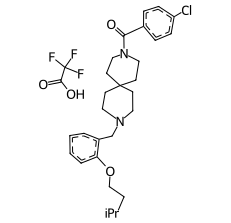 CC(C)CCOc1ccccc1CN1CCC2(CC1)CCN(C(=O)c1ccc(Cl)cc1)CC2.O=C(O)C(F)(F)F